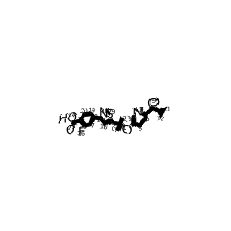 CC(C)(Oc1ccc(C(=O)C2CC2)nc1)c1cc(-c2ccc(C(=O)O)c(F)c2)ns1